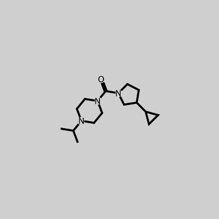 CC(C)N1CCN(C(=O)N2CCC(C3CC3)C2)CC1